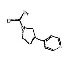 CC(C)C(=O)N1CCC(c2ccncc2)C1